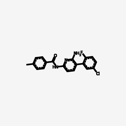 Cc1ccc(C(=O)Nc2ccc(-c3cc(Cl)ccc3F)c(N)n2)cc1